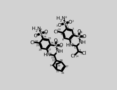 NS(=O)(=O)c1cc2c(cc1Cl)NC(C(Cl)Cl)NS2(=O)=O.NS(=O)(=O)c1cc2c(cc1Cl)NC(C1CC3C=CC1C3)NS2(=O)=O